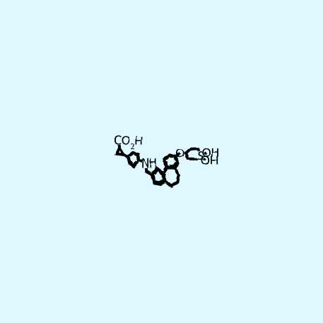 O=C(O)C1CC1c1ccc(NCc2ccc3c(c2)-c2ccc(OC4CCS(O)(O)CC4)cc2CCC3)cc1